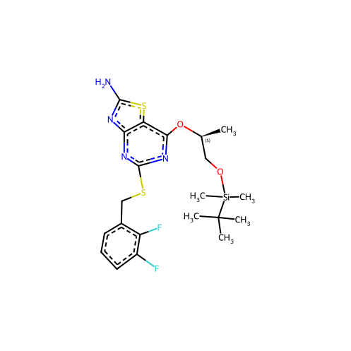 C[C@@H](CO[Si](C)(C)C(C)(C)C)Oc1nc(SCc2cccc(F)c2F)nc2nc(N)sc12